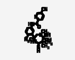 CN1C[C@@](C)(c2cc(NC(=O)c3ccc(C#N)cn3)ccc2F)NC(=N)C(C)(C)S1(O)O